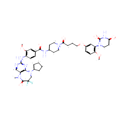 COc1cc(C(=O)NC2CCN(C(=O)CCCOc3ccc(OC)c(N4CCC(=O)NC4=O)c3)CC2)ccc1Nc1ncc2c(n1)N(C1CCCC1)CC(F)(F)C(=O)N2C